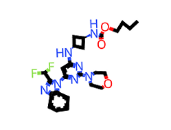 CCCCOC(=O)N[C@H]1C[C@H](Nc2cc(-n3c(C(F)F)nc4ccccc43)nc(N3CCOCC3)n2)C1